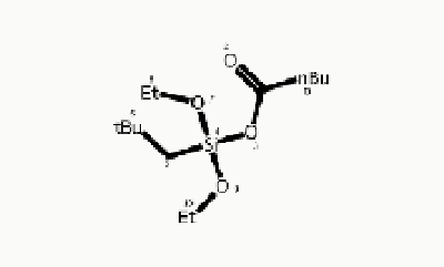 CCCCC(=O)O[Si](CC(C)(C)C)(OCC)OCC